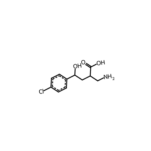 NCC(CC(O)c1ccc(Cl)cc1)C(=O)O